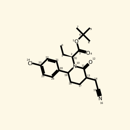 CC[C@@H](C(=O)OC(C)(C)C)N1C(=O)C(CC#N)CCC1c1ccc(Cl)cc1